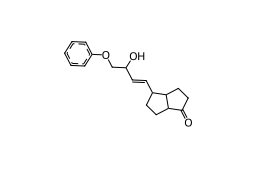 O=C1CCC2C(/C=C/C(O)COc3ccccc3)CCC12